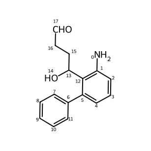 Nc1cccc(-c2ccccc2)c1C(O)CCC=O